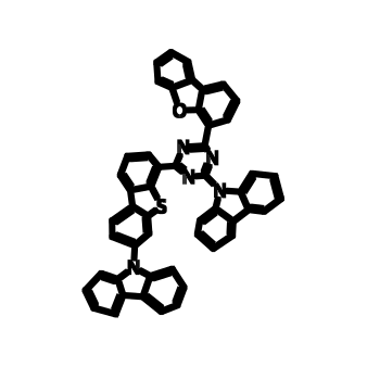 c1ccc2c(c1)oc1c(-c3nc(-c4cccc5c4sc4cc(-n6c7ccccc7c7ccccc76)ccc45)nc(-n4c5ccccc5c5ccccc54)n3)cccc12